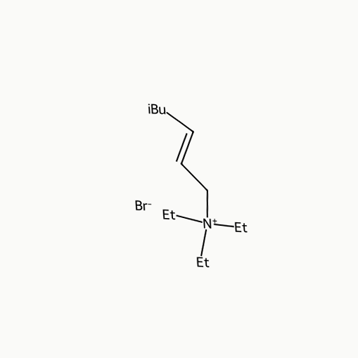 CCC(C)C=CC[N+](CC)(CC)CC.[Br-]